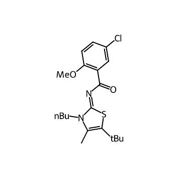 CCCCn1c(C)c(C(C)(C)C)sc1=NC(=O)c1cc(Cl)ccc1OC